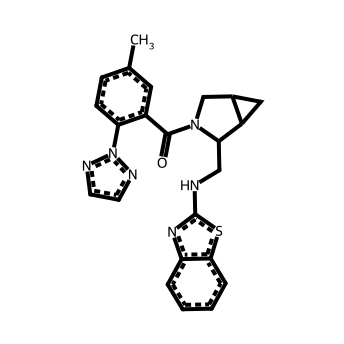 Cc1ccc(-n2nccn2)c(C(=O)N2CC3CC3C2CNc2nc3ccccc3s2)c1